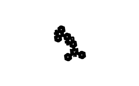 CC1(C)c2cc(-c3nc(-c4ccccc4)nc(-c4ccccc4)n3)ccc2Oc2ccc(N3c4ccccc4C(C)(C)c4ccccc43)cc21